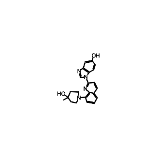 CC1(O)CCN(c2cccc3ccc(-n4cnc5cc(O)ccc54)nc23)CC1